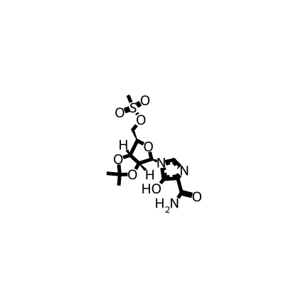 CC1(C)O[C@@H]2[C@H](O1)[C@@H](COS(C)(=O)=O)O[C@H]2n1cnc(C(N)=O)c1O